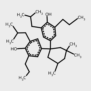 CCCc1cc(C2(c3cc(CCC)c(O)c(CC(C)C)c3)CC(C)CC(C)(C)C2)cc(CC(C)C)c1O